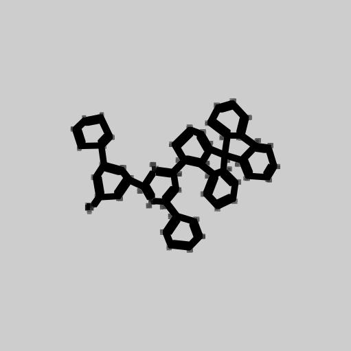 CC(C)c1cc(-c2ccccc2)cc(-c2nc(-c3ccccc3)cc(-c3cccc4c3-c3ccccc3C43c4ccccc4-c4ccccc43)n2)c1